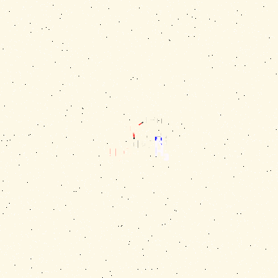 C.CC(C)(C)OC(C)(C)C.N.O